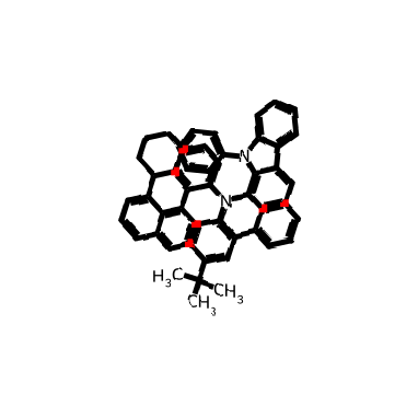 CC(C)(C)c1ccc(N(c2ccccc2-c2cccc3cccc(C4CCCCC4)c23)c2cccc3c4ccccc4n(-c4ccccc4)c23)c(-c2ccccc2)c1